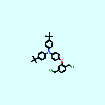 CC(C)(C)c1ccc(N(c2ccc(Oc3cc(CCl)ccc3CCl)cc2)c2ccc(C(C)(C)C)cc2)cc1